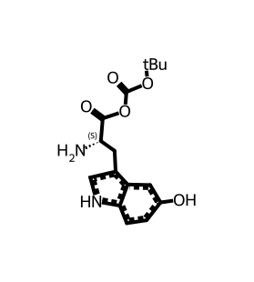 CC(C)(C)OC(=O)OC(=O)[C@@H](N)Cc1c[nH]c2ccc(O)cc12